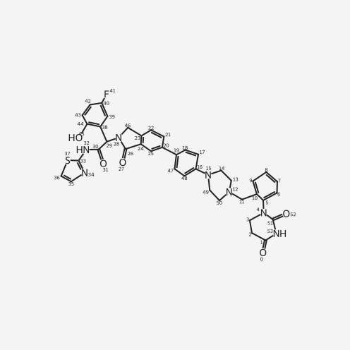 O=C1CCN(c2ccccc2CN2CCN(c3ccc(-c4ccc5c(c4)C(=O)N(C(C(=O)Nc4nccs4)c4cc(F)ccc4O)C5)cc3)CC2)C(=O)N1